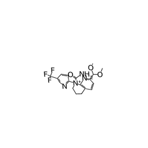 COC(OC)c1ccc2c(n1)[N+](C(N)=O)(c1ccc(C(F)(F)F)cn1)CCC2